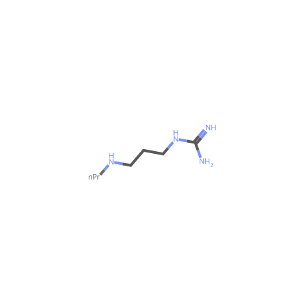 CCCNCCCNC(=N)N